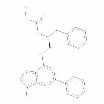 CC(C)(C)OC(=O)N[C@H](CNc1nc(-c2ccncc2)nc2c(Br)csc12)Cc1ccccc1